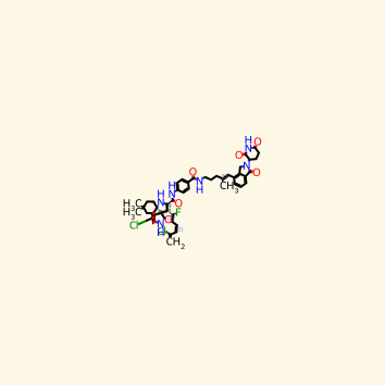 C=C(Cl)/C=C\C=C(/F)[C@H]1[C@H](C(=O)Nc2ccc(C(=O)NCCC/C(C)=C/c3cccc4c3CN(C3CCC(=O)NC3=O)C4=O)cc2)NC2(CCC(C)(C)CC2)[C@@]12C(=O)Nc1cc(Cl)ccc12